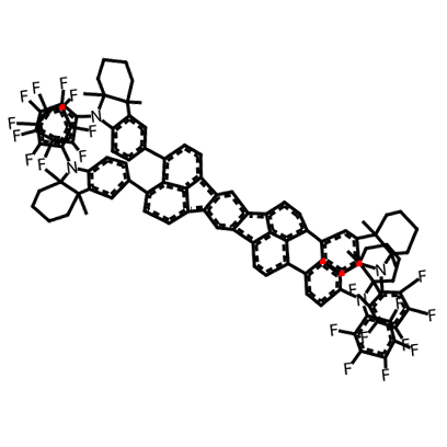 CC12CCCCC1(C)N(c1c(F)c(F)c(F)c(F)c1F)c1ccc(-c3ccc4c5cc6c(cc5c5ccc(-c7ccc8c(c7)C7(C)CCCCC7(C)N8c7c(F)c(F)c(F)c(F)c7F)c3c45)c3ccc(-c4ccc5c(c4)C4(C)CCCCC4(C)N5c4c(F)c(F)c(F)c(F)c4F)c4c(-c5ccc7c(c5)C5(C)CCCCC5(C)N7c5c(F)c(F)c(F)c(F)c5F)ccc6c43)cc12